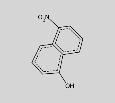 O=[N+]([O-])c1cccc2c(O)cccc12